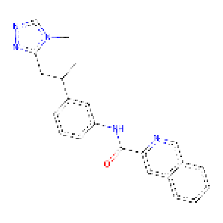 CC(Cc1nncn1C)c1cccc(NC(=O)c2cc3ccccc3cn2)c1